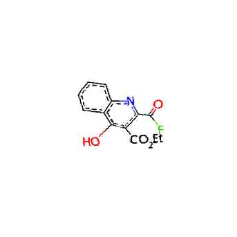 CCOC(=O)c1c(C(=O)F)nc2ccccc2c1O